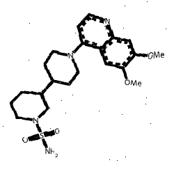 COc1cc2nccc(N3CCC(C4CCCN(S(N)(=O)=O)C4)CC3)c2cc1OC